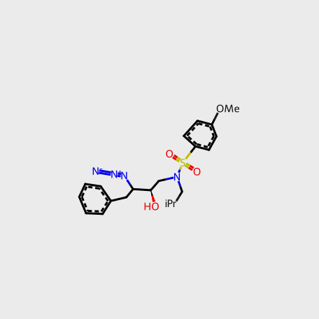 COc1ccc(S(=O)(=O)N(CC(C)C)C[C@@H](O)C(Cc2ccccc2)N=[N+]=[N-])cc1